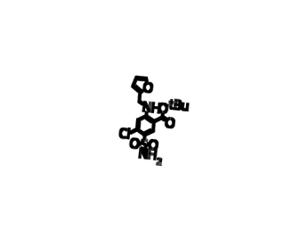 CC(C)(C)OC(=O)c1cc(S(N)(=O)=O)c(Cl)cc1NCc1ccco1